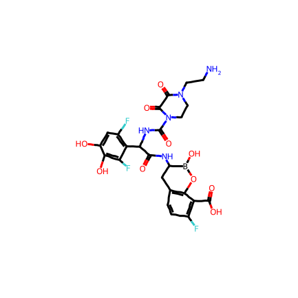 NCCN1CCN(C(=O)NC(C(=O)NC2Cc3ccc(F)c(C(=O)O)c3OB2O)c2c(F)cc(O)c(O)c2F)C(=O)C1=O